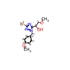 COCC(O)c1nc(Br)nn1Cc1ccc(OC)cc1